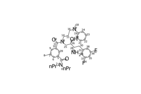 CCCN(CCC)C(=O)c1cc(C)cc(C(=O)N(CCCN(C)c2ccccc2)C[C@@H](O)[C@@H](N)Cc2cc(F)cc(F)c2)c1